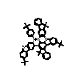 CC(C)(C)c1ccc(N2B3c4cc5c(cc4-n4c6ccc(C(C)(C)C)cc6c6c7c(c(c3c64)-c3cc4c(cc32)sc2ccc(C(C)(C)C)cc24)C(C)(C)c2ccccc2-7)C(C)(C)c2ccccc2-5)cc1